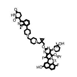 CCc1c(F)ccc2cc(O)cc(-c3nc(OC(C)C)c4c(N5CCC[C@@](C)(O)C5)nc(OCC5(CN6CCC(CN7CCC(c8cccc9c(C%10CCC(=O)NC%10=O)nn(C)c89)CC7)CC6)CC5)nc4c3F)c12